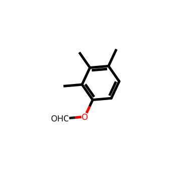 Cc1ccc(OC=O)c(C)c1C